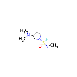 CN=S(=O)(F)N1CCC(N(C)C)C1